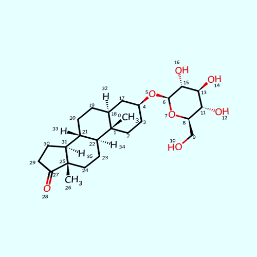 C[C@]12CC[C@H](O[C@@H]3O[C@H](CO)[C@@H](O)[C@H](O)[C@H]3O)C[C@@H]1CC[C@@H]1[C@@H]2CC[C@]2(C)C(=O)CC[C@@H]12